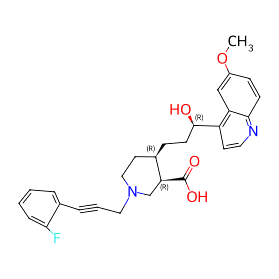 COc1ccc2nccc([C@H](O)CC[C@@H]3CCN(CC#Cc4ccccc4F)C[C@@H]3C(=O)O)c2c1